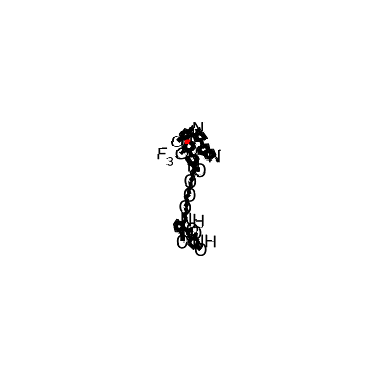 O=C1CCC(N2C(=O)c3cccc(NCCOCCOCCOCCC(=O)N4CCN(c5ccc(-n6c(=O)ccc7cnc8ccc(-c9ccc%10ccncc%10c9)cc8c76)cc5C(F)(F)F)CC4)c3C2=O)C(=O)N1